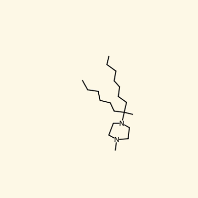 CCCCCCCC(C)(CCCCCC)N1CCN(C)CC1